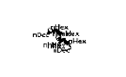 CCCCCCCCCCSC(CCCCCC)(CCCCCC)CC(CCCCCC)OC(CCCCCC)CC(CCCCCC)(CCCCCC)SCCCCCCCCCC